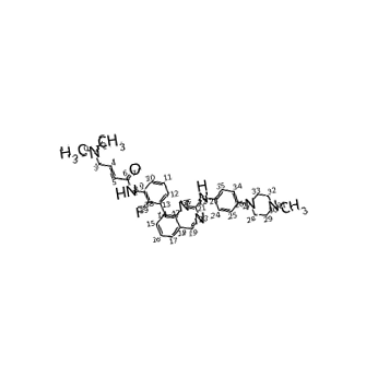 CN(C)C/C=C/C(=O)Nc1cccc(-c2cccc3cnc(Nc4ccc(N5CCN(C)CC5)cc4)nc23)c1F